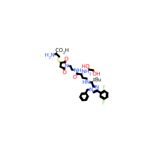 CC(C)(C)[C@@H](NCC[C@H](N)C(=O)NCCN1C(=O)CC(SC[C@H](N)C(=O)O)C1=O)c1nc(-c2cc(F)ccc2F)cn1Cc1ccccc1.OCCO